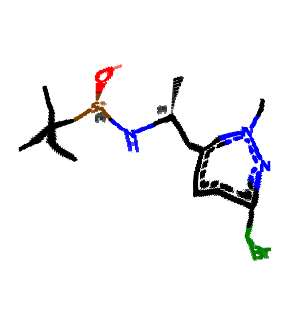 C[C@@H](N[S@+]([O-])C(C)(C)C)c1cc(Br)nn1C